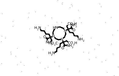 NCCCCC(CC(=O)O)(C(N)=O)N1CCNCCN(C(CCCCN)(CC(=O)O)C(N)=O)CCN(C(CCCCN)(CC(=O)O)C(N)=O)CC1